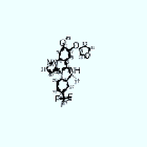 COc1cc2c(cc1O[C@H]1CCOC1)c(N[C@H](C)c1cccc(C(F)(F)F)c1)nc1ccnn12